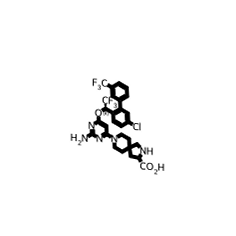 Nc1nc(O[C@H](c2ccc(Cl)cc2-c2cccc(C(F)(F)F)c2)C(F)(F)F)cc(N2CCC3(CC2)CNC(C(=O)O)C3)n1